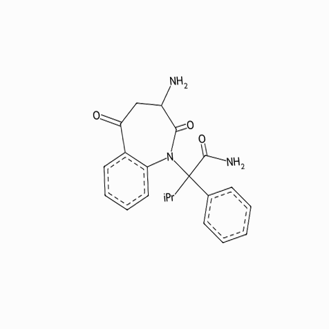 CC(C)C(C(N)=O)(c1ccccc1)N1C(=O)C(N)CC(=O)c2ccccc21